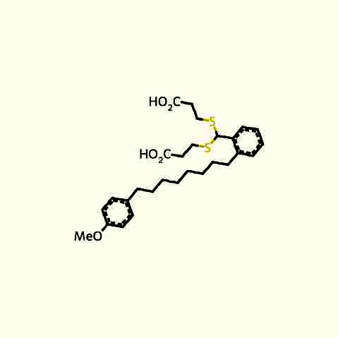 COc1ccc(CCCCCCCCc2ccccc2C(SCCC(=O)O)SCCC(=O)O)cc1